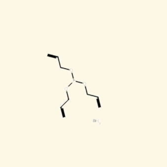 B.C=CCOP(OCC=C)OCC=C